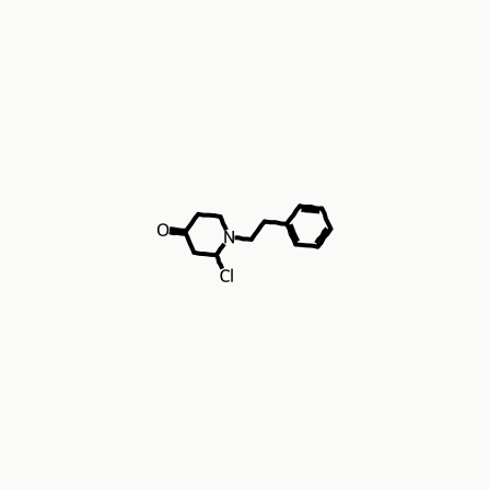 O=C1CCN(CCc2ccccc2)C(Cl)C1